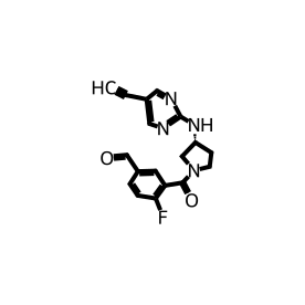 C#Cc1cnc(N[C@@H]2CCN(C(=O)c3cc(C=O)ccc3F)C2)nc1